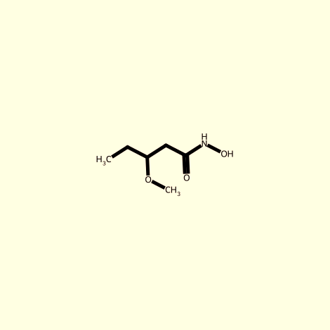 CCC(CC(=O)NO)OC